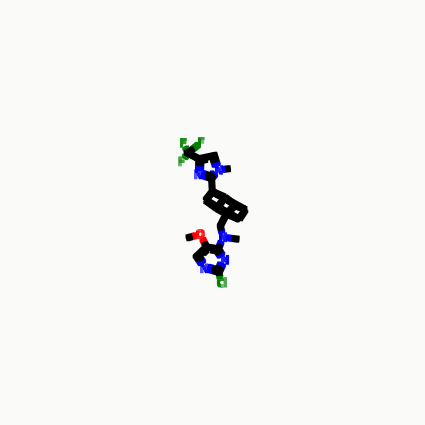 COc1cnc(Cl)nc1N(C)CC12C3C4C1C1C2C3C41c1nc(C(F)(F)F)cn1C